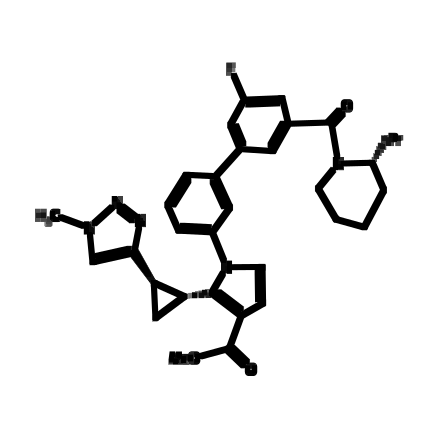 CCC[C@@H]1CCCCN1C(=O)c1cc(F)cc(-c2cccc(-n3ccc(C(=O)OC)c3[C@@H]3C[C@H]3c3cn(C)nn3)c2)c1